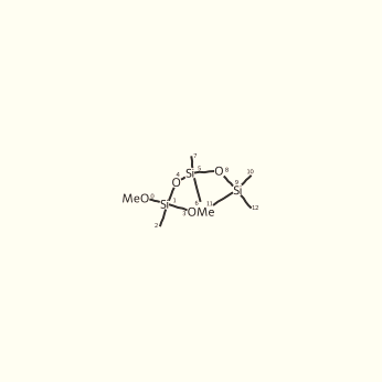 CO[Si](C)(OC)O[Si](C)(C)O[Si](C)(C)C